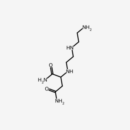 NCCNCCNC(CC(N)=O)C(N)=O